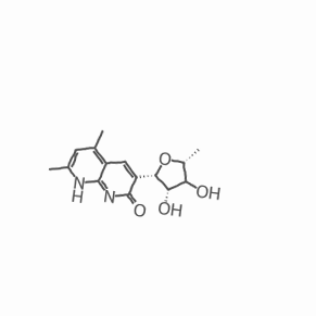 Cc1cc(C)c2cc([C@@H]3O[C@H](C)C(O)[C@@H]3O)c(=O)nc-2[nH]1